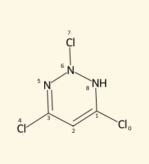 ClC1=CC(Cl)=NN(Cl)N1